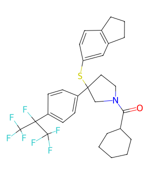 O=C(C1CCCCC1)N1CCC(Sc2ccc3c(c2)CCC3)(c2ccc(C(F)(C(F)(F)F)C(F)(F)F)cc2)C1